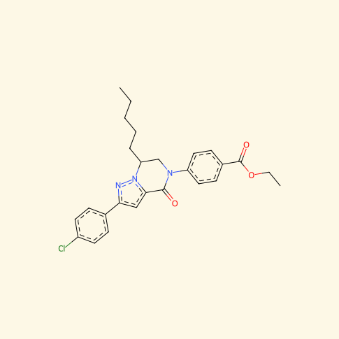 CCCCCC1CN(c2ccc(C(=O)OCC)cc2)C(=O)c2cc(-c3ccc(Cl)cc3)nn21